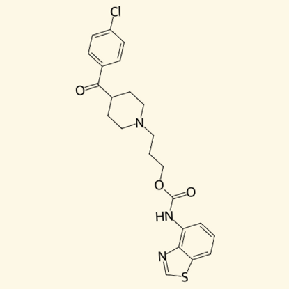 O=C(Nc1cccc2scnc12)OCCCN1CCC(C(=O)c2ccc(Cl)cc2)CC1